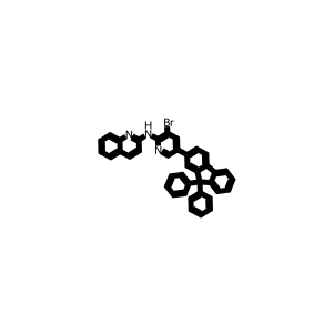 Brc1cc(-c2ccc3c(c2)C(c2ccccc2)(c2ccccc2)c2ccccc2-3)cnc1Nc1ccc2ccccc2n1